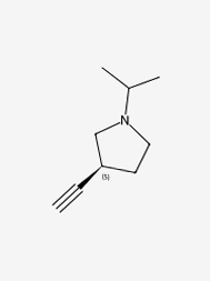 C#C[C@@H]1CCN(C(C)C)C1